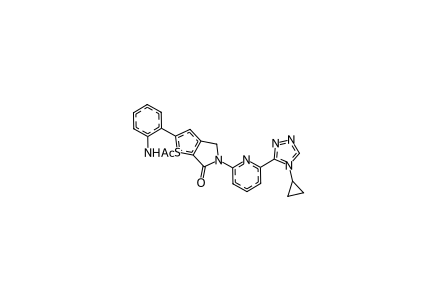 CC(=O)Nc1ccccc1-c1cc2c(s1)C(=O)N(c1cccc(-c3nncn3C3CC3)n1)C2